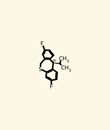 CC(C)[C@@H]1c2ccc(F)cc2CSc2cc(F)ccc21